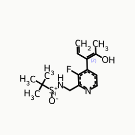 C=C/C(=C(\C)O)c1ccnc(CN[S@@+]([O-])C(C)(C)C)c1F